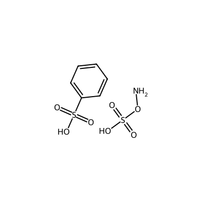 NOS(=O)(=O)O.O=S(=O)(O)c1ccccc1